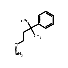 CCCC(C)(CCO[SiH3])c1ccccc1